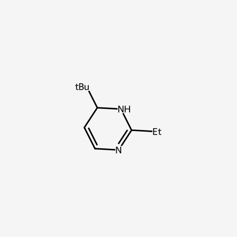 CCC1=NC=CC(C(C)(C)C)N1